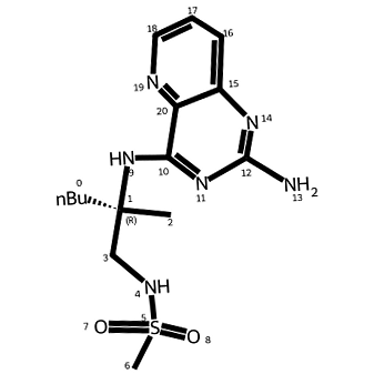 CCCC[C@](C)(CNS(C)(=O)=O)Nc1nc(N)nc2cccnc12